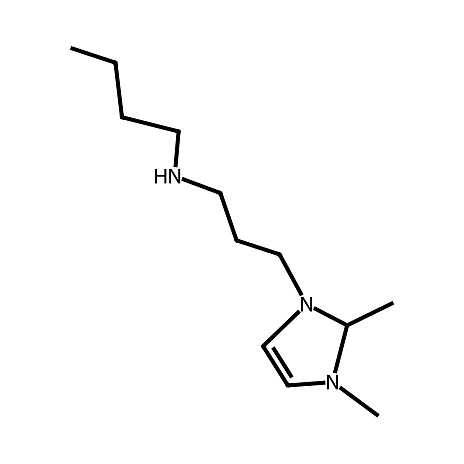 CCCCNCCCN1C=CN(C)C1C